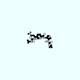 CC(C)NC(=O)NC(CCN(C)C)c1ccc(C(=O)Nc2cscc2NC(=O)OC(C)(C)C)nc1